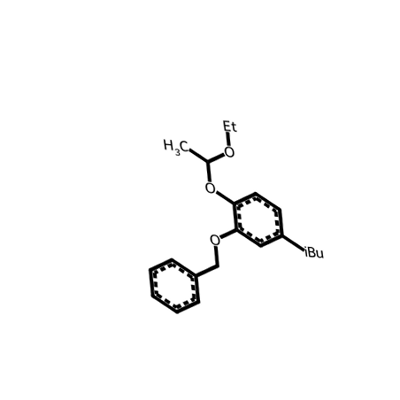 CCOC(C)Oc1ccc(C(C)CC)cc1OCc1ccccc1